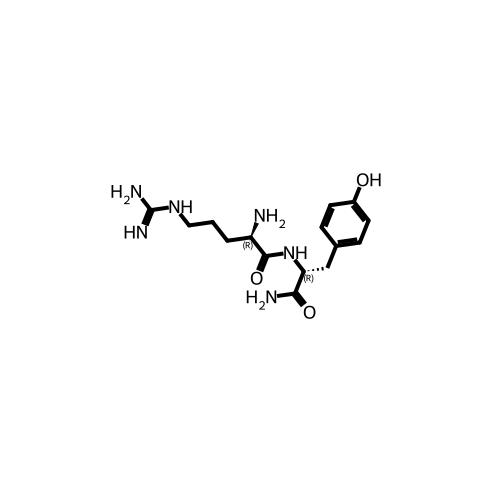 N=C(N)NCCC[C@@H](N)C(=O)N[C@H](Cc1ccc(O)cc1)C(N)=O